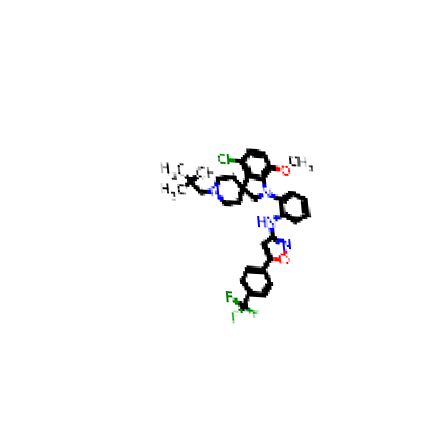 COc1ccc(Cl)c2c1N(c1ccccc1Nc1cc(-c3ccc(C(F)(F)F)cc3)on1)CC21CCN(CC(C)(C)C)CC1